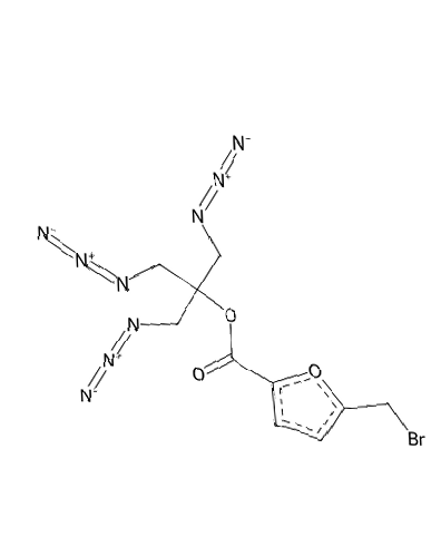 [N-]=[N+]=NCC(CN=[N+]=[N-])(CN=[N+]=[N-])OC(=O)c1ccc(CBr)o1